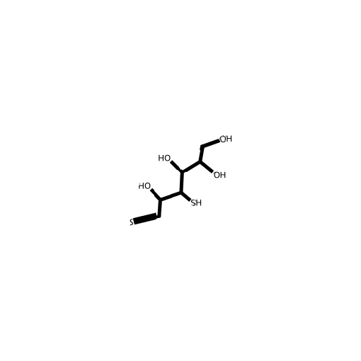 OCC(O)C(O)C(S)C(O)C=S